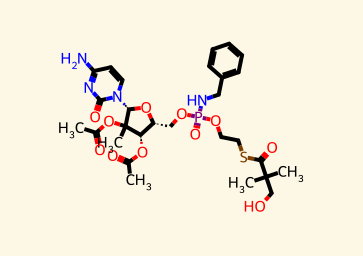 CC(=O)O[C@H]1[C@@H](COP(=O)(NCc2ccccc2)OCCSC(=O)C(C)(C)CO)O[C@@H](n2ccc(N)nc2=O)C1(C)OC(C)=O